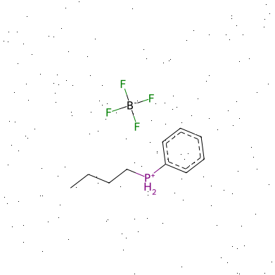 CCCC[PH2+]c1ccccc1.F[B-](F)(F)F